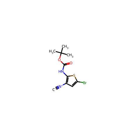 [C-]#[N+]c1cc(Br)sc1NC(=O)OC(C)(C)C